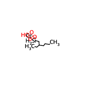 CCCCC(CC)C[SiH2][O][Cr](=[O])(=[O])[OH]